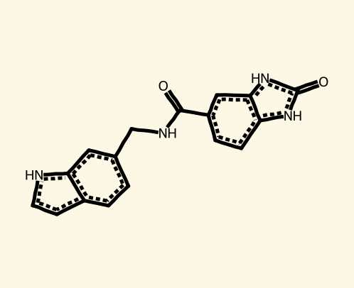 O=C(NCc1ccc2cc[nH]c2c1)c1ccc2[nH]c(=O)[nH]c2c1